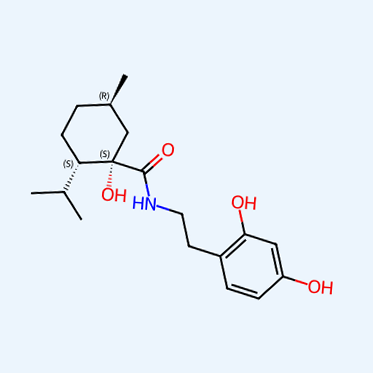 CC(C)[C@@H]1CC[C@@H](C)C[C@@]1(O)C(=O)NCCc1ccc(O)cc1O